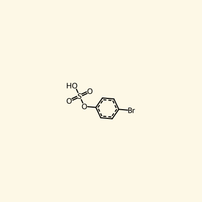 O=S(=O)(O)Oc1ccc(Br)cc1